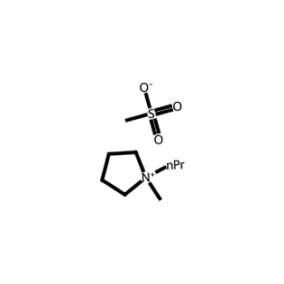 CCC[N+]1(C)CCCC1.CS(=O)(=O)[O-]